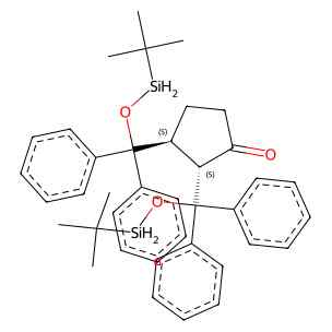 CC(C)(C)[SiH2]OC(c1ccccc1)(c1ccccc1)[C@H]1CCC(=O)[C@@H]1C(O[SiH2]C(C)(C)C)(c1ccccc1)c1ccccc1